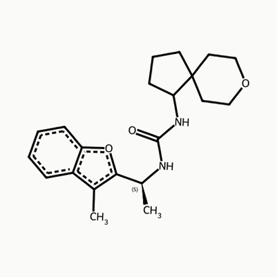 Cc1c([C@H](C)NC(=O)NC2CCCC23CCOCC3)oc2ccccc12